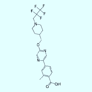 Cc1cc(-c2cnc(OCC3CCN(CC(F)(F)C(F)(F)F)CC3)cn2)ccc1C(=O)O